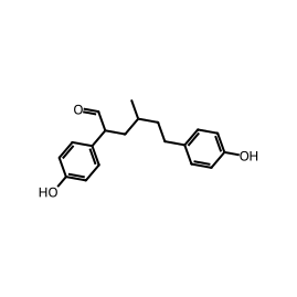 CC(CCc1ccc(O)cc1)CC(C=O)c1ccc(O)cc1